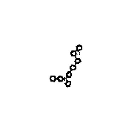 c1ccc(-c2ccc(N(c3ccccc3)c3ccc(-c4ccc(-c5cccc(-c6cccc7c6oc6ccccc67)c5)cc4)cc3)cc2)cc1